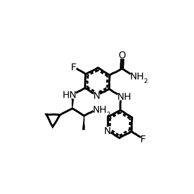 C[C@H](N)[C@H](Nc1nc(Nc2cncc(F)c2)c(C(N)=O)cc1F)C1CC1